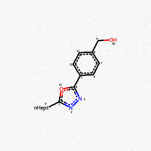 CCCCCCCc1nnc(-c2ccc(CO)cc2)o1